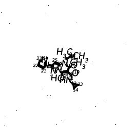 CC(C)(C)Cn1c(=O)c(C(=O)NC2CC2)c(O)n2nc(-n3cccn3)cc12